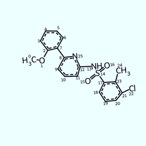 COc1ccccc1-c1cccc(NS(=O)(=O)c2cccc(Cl)c2C)n1